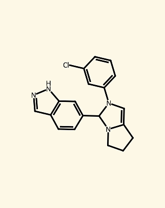 Clc1cccc(N2C=C3CCCN3C2c2ccc3cn[nH]c3c2)c1